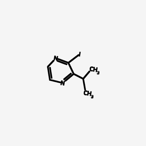 CC(C)c1nccnc1I